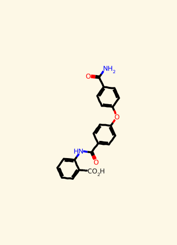 NC(=O)c1ccc(Oc2ccc(C(=O)Nc3ccccc3C(=O)O)cc2)cc1